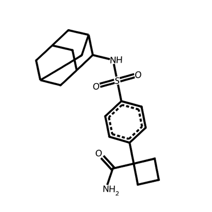 NC(=O)C1(c2ccc(S(=O)(=O)NC3C4CC5CC(C4)CC3C5)cc2)CCC1